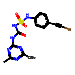 COc1nc(C)nc(NC(=O)NS(=O)(=O)Nc2ccc(C#CBr)cc2)n1